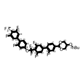 CCCCOC1COC(c2ccc(-c3cc(F)c(C(F)(F)Oc4ccc(-c5cc(F)c(C(F)(F)F)c(F)c5)c(F)c4)c(F)c3)c(F)c2)OC1